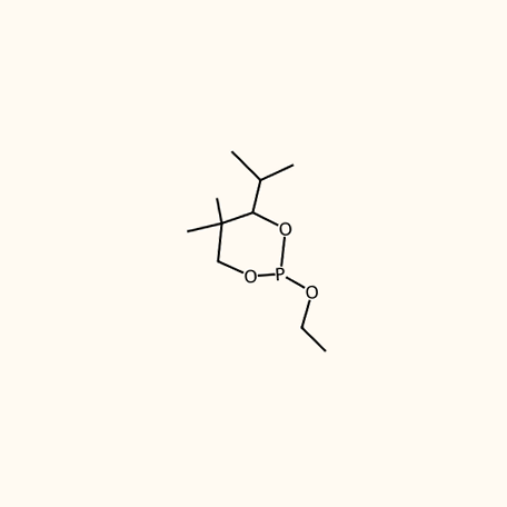 CCOP1OCC(C)(C)C(C(C)C)O1